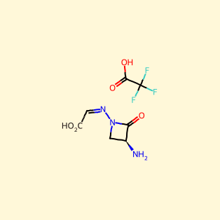 N[C@H]1CN(/N=C\C(=O)O)C1=O.O=C(O)C(F)(F)F